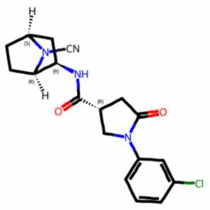 N#CN1[C@H]2CC[C@@H]1[C@H](NC(=O)[C@@H]1CC(=O)N(c3cccc(Cl)c3)C1)C2